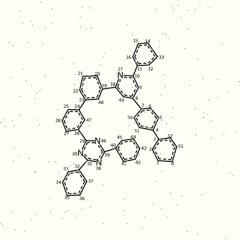 c1ccc(-c2ccc(-c3cc(-c4ccccc4)nc(-c4cccc(-c5cccc(-c6nc(-c7ccccc7)nc(-c7ccccc7)n6)c5)c4)c3)cc2)cc1